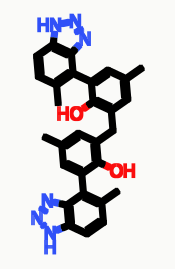 Cc1cc(Cc2cc(C)cc(-c3c(C)ccc4[nH]nnc34)c2O)c(O)c(-c2c(C)ccc3[nH]nnc23)c1